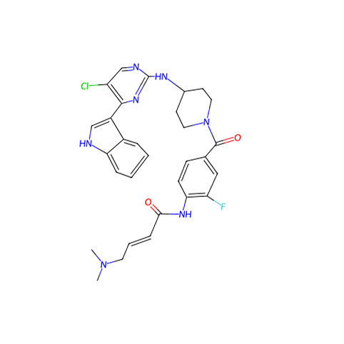 CN(C)CC=CC(=O)Nc1ccc(C(=O)N2CCC(Nc3ncc(Cl)c(-c4c[nH]c5ccccc45)n3)CC2)cc1F